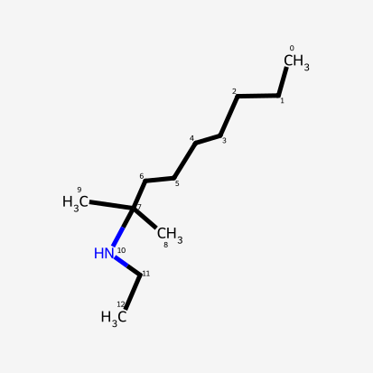 CCCCCCCC(C)(C)NCC